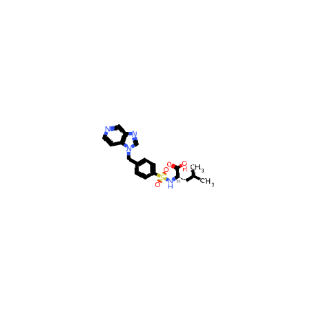 CC(C)C[C@H](NS(=O)(=O)c1ccc(Cn2cnc3cnccc32)cc1)C(=O)O